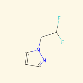 FC(F)Cn1[c]c[c]n1